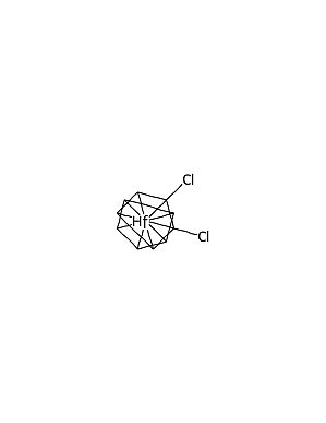 Cl[C]12[CH]3[CH]4[CH]5[C]1(Cl)[Hf]43521678[CH]2[CH]1[CH]6[CH]7[CH]28